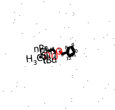 CCC[C@@H](CC(=O)OCc1ccccc1)O[Si](C)(C)C(C)(C)C